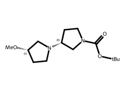 CO[C@H]1CCN([C@@H]2CCN(C(=O)OC(C)(C)C)C2)C1